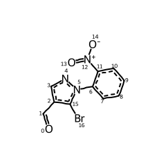 O=Cc1cnn(-c2ccccc2[N+](=O)[O-])c1Br